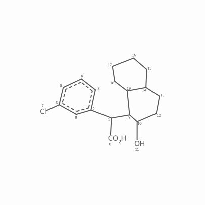 O=C(O)C(c1cccc(Cl)c1)C1C(O)CCC2CCCCC21